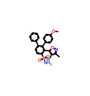 COc1ccc(-c2c(-c3ccccc3)ccc(S(N)(=O)=O)c2-c2onc(C)c2Br)cc1